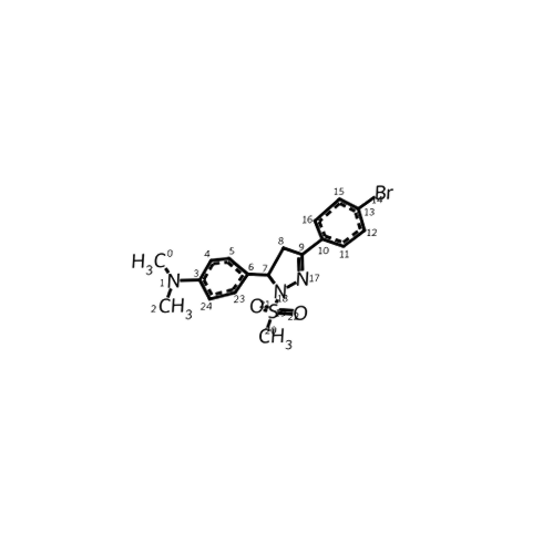 CN(C)c1ccc(C2CC(c3ccc(Br)cc3)=NN2S(C)(=O)=O)cc1